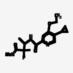 CNC(=O)C(C)(F)C(C)NC(=O)c1cc(OCC(F)(F)F)c(C2CC2)cn1